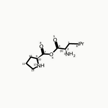 CC(C)C[C@H](N)C(=O)OC(=O)[C@@H]1CCCN1